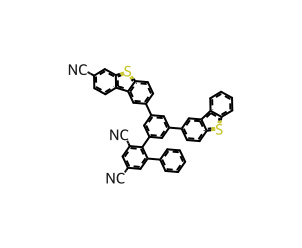 N#Cc1cc(C#N)c(-c2cc(-c3ccc4sc5ccccc5c4c3)cc(-c3ccc4sc5cc(C#N)ccc5c4c3)c2)c(-c2ccccc2)c1